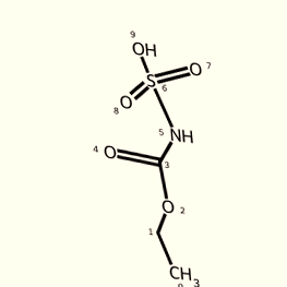 CCOC(=O)NS(=O)(=O)O